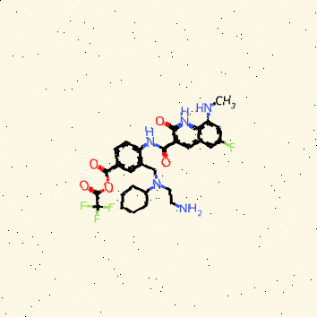 CNc1cc(F)cc2cc(C(=O)Nc3ccc(C(=O)OC(=O)C(F)(F)F)cc3CN(CCN)C3CCCCC3)c(=O)[nH]c12